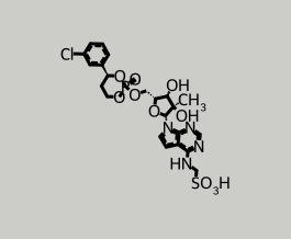 C[C@@]1(O)[C@H](O)[C@@H](COP2(=O)OCC[C@@H](c3cccc(Cl)c3)O2)O[C@H]1n1ccc2c(NCS(=O)(=O)O)ncnc21